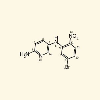 Nc1ccc(Nc2cc(Br)ccc2[N+](=O)[O-])cn1